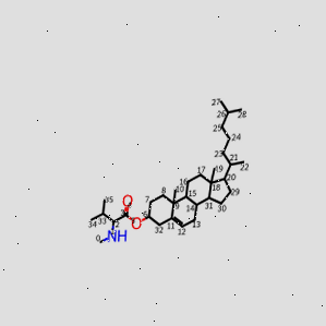 CNC(C(=O)OC1CCC2(C)C(=CCC3C2CCC2(C)C(C(C)CCCC(C)C)CCC32)C1)C(C)C